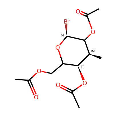 CC(=O)OCC1O[C@@H](Br)C(OC(C)=O)[C@@H](C)[C@H]1OC(C)=O